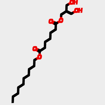 CCCCCCCCCCOC(=O)CCCCCC(=O)OCC(CO)CO